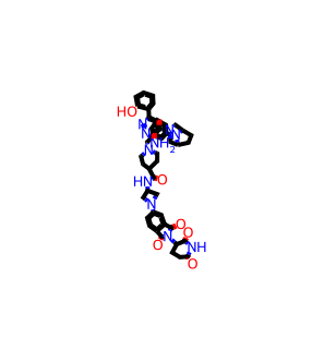 Nc1nnc(-c2ccccc2O)cc1N1CC2CCC(C1)N2c1cccc(CN2CCC(C(=O)NC3CN(c4ccc5c(c4)C(=O)N(C4CCC(=O)NC4=O)C5=O)C3)CC2)c1